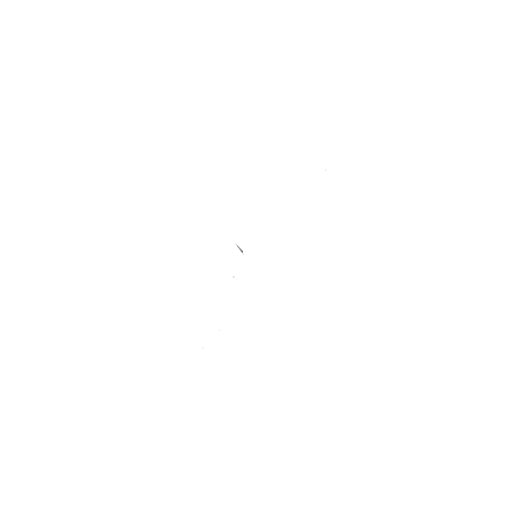 Cc1cc([C@H]2CC(F)(F)CC[C@@H]2C(=O)N2CCC3(CC2)CO3)cs1